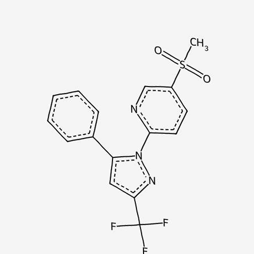 CS(=O)(=O)c1ccc(-n2nc(C(F)(F)F)cc2-c2ccccc2)nc1